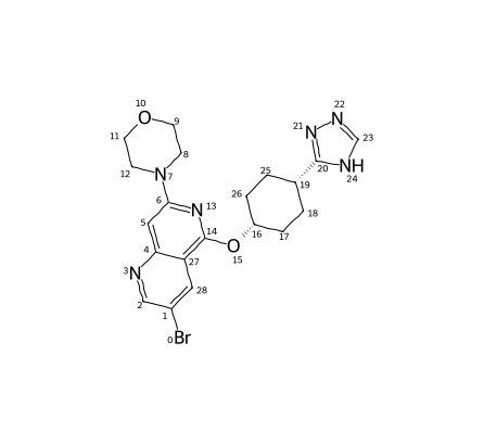 Brc1cnc2cc(N3CCOCC3)nc(O[C@H]3CC[C@@H](c4nnc[nH]4)CC3)c2c1